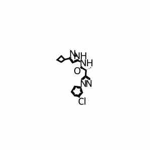 C[C@@H](C(=O)Nc1cc(C2CCC2)n[nH]1)c1cnn(-c2cccc(Cl)c2)c1